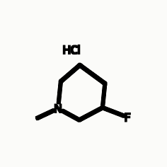 CN1CCCC(F)C1.Cl